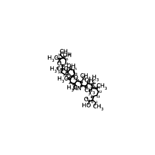 CC[C@@H](C(=O)O)[C@@H]1CC[C@@H]([C@@H](C)[C@H](O)[C@H](C)C(=N)[C@H](CC)[C@H]2O[C@]3(C=C[C@@H](O)[C@]4(CC[C@@](C)([C@H]5CC[C@](O)(CC)[C@H](C)O5)O4)O3)[C@H](C)C[C@@H]2C)[C@@H](C)CC1